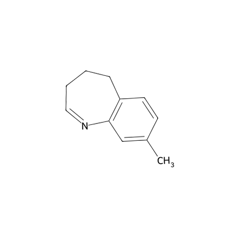 Cc1ccc2c(c1)N=CCCC2